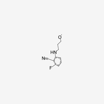 COCCCNc1cccc(F)c1C#N